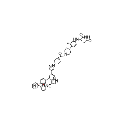 N#Cc1cnn2cc(-c3cnn(C4CCN(C(=O)CN5CCC(c6ccc(NC7CCC(=O)NC7=O)cc6F)CC5)CC4)c3)cc(-c3ccc(N4CC5CC(C4)N5Cc4ccccn4)nc3)c12